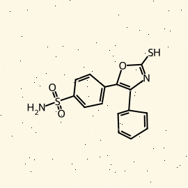 NS(=O)(=O)c1ccc(-c2oc(S)nc2-c2ccccc2)cc1